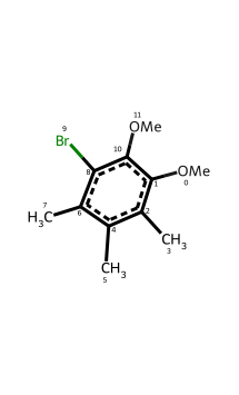 COc1c(C)c(C)c(C)c(Br)c1OC